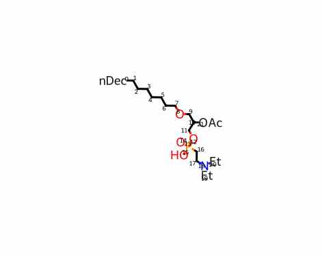 CCCCCCCCCCCCCCCCCOCC(COP(=O)(O)CCN(CC)CC)OC(C)=O